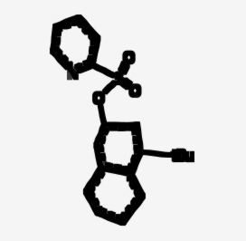 CC(C)(C)c1cc(OS(=O)(=O)c2ccccn2)cc2ccccc12